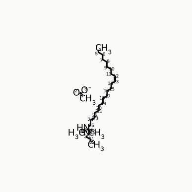 CC(=O)[O-].CCCCCCCC/C=C\CCCCCCCCCCCCN[N+](C)(C)CCC